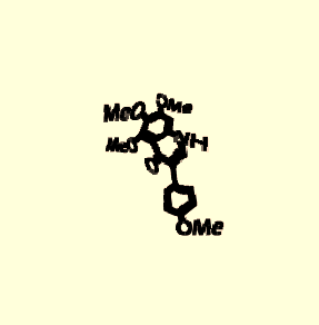 COc1ccc(-c2c[nH]c3cc(OC)c(OC)c(OC)c3c2=O)cc1